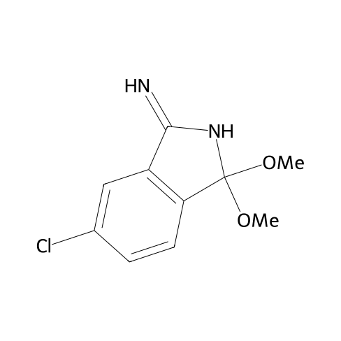 COC1(OC)NC(=N)c2cc(Cl)ccc21